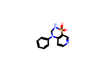 O=S1(=O)NCN(c2ccccc2)c2ccncc21